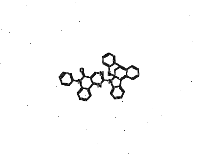 O=c1c2cnc(N3c4ccccc4C4=c5ccccc5=C5CC43Sc3ccccc35)nc2c2ccccc2n1-c1cc#ccc1